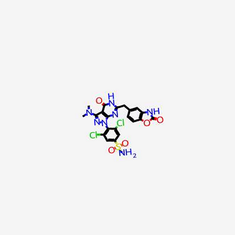 CN(C)c1nn(-c2c(Cl)cc(S(N)(=O)=O)cc2Cl)c2nc(Cc3ccc4oc(=O)[nH]c4c3)[nH]c(=O)c12